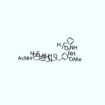 COc1cc(CC(=O)CNCc2cc(CC(NC(C)=O)C(=O)O)c(C)[nH]2)ccc1NC(=O)Nc1ccccc1C